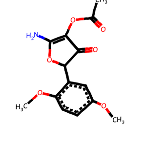 COc1ccc(OC)c(C2OC(N)=C(OC(C)=O)C2=O)c1